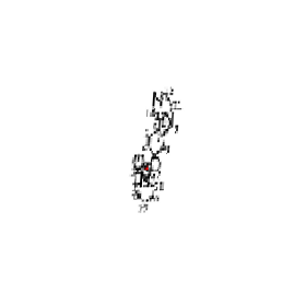 O=C(Oc1ccc2c(c1)cn1ccncc21)N1C2CCCC1COC2